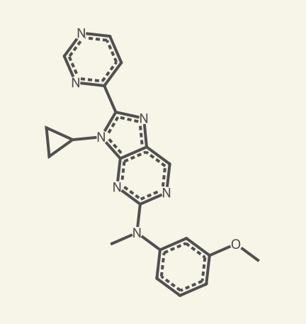 COc1cccc(N(C)c2ncc3nc(-c4ccncn4)n(C4CC4)c3n2)c1